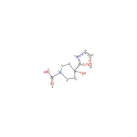 O=C(O)N1CCC(O)(c2ncco2)CC1